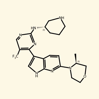 C[C@H]1COCCN1c1ccc2c(-c3nc(N[C@H]4CCCNC4)ncc3C(F)(F)F)c[nH]c2n1